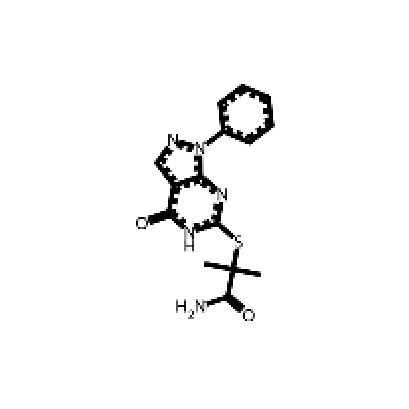 CC(C)(Sc1nc2c(cnn2-c2ccccc2)c(=O)[nH]1)C(N)=O